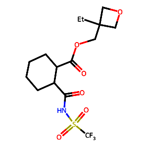 CCC1(COC(=O)C2CCCCC2C(=O)NS(=O)(=O)C(F)(F)F)COC1